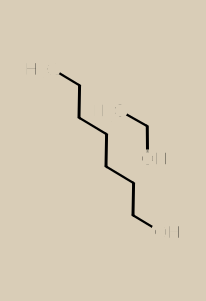 CCCCCCCO.CCO